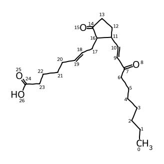 CCCCCCCC(=O)/C=C/C1CCC(=O)C1C/C=C/CCCCC(=O)O